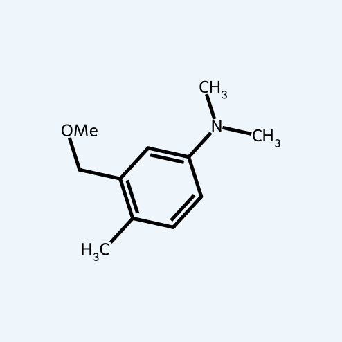 COCc1cc(N(C)C)ccc1C